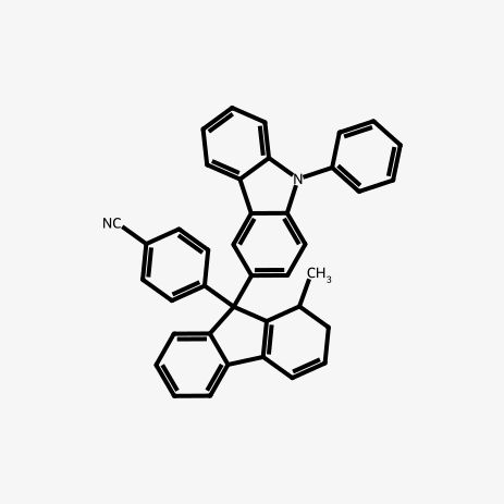 CC1CC=CC2=C1C(c1ccc(C#N)cc1)(c1ccc3c(c1)c1ccccc1n3-c1ccccc1)c1ccccc12